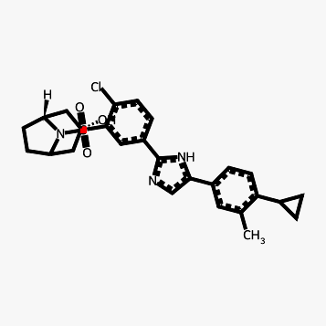 Cc1cc(-c2cnc(-c3ccc(Cl)c(S(=O)(=O)N4C5CC[C@@H]4C[C@H](O)C5)c3)[nH]2)ccc1C1CC1